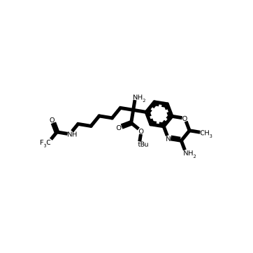 CC1Oc2ccc(C(N)(CCCCCNC(=O)C(F)(F)F)C(=O)OC(C)(C)C)cc2N=C1N